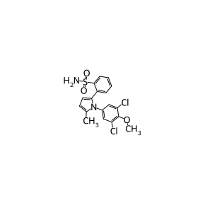 COc1c(Cl)cc(-n2c(C)ccc2-c2ccccc2S(N)(=O)=O)cc1Cl